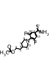 CC(=O)OCCC1CCN(c2c(F)cc(C(N)=S)cc2F)CC1